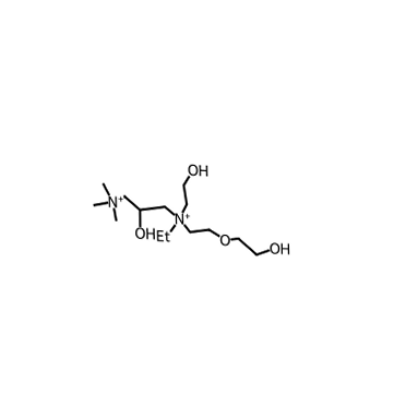 CC[N+](CCO)(CCOCCO)CC(O)C[N+](C)(C)C